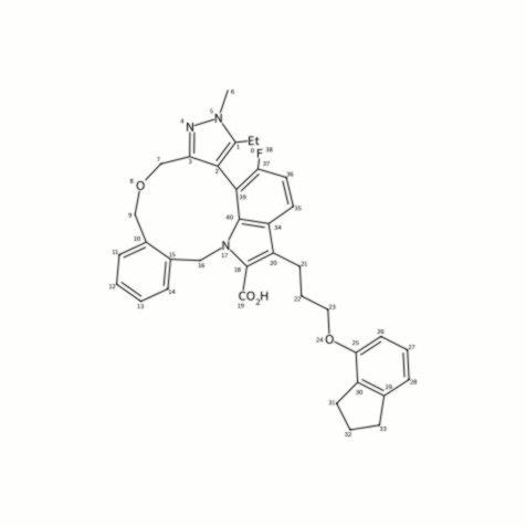 CCc1c2c(nn1C)COCc1ccccc1Cn1c(C(=O)O)c(CCCOc3cccc4c3CCC4)c3ccc(F)c-2c31